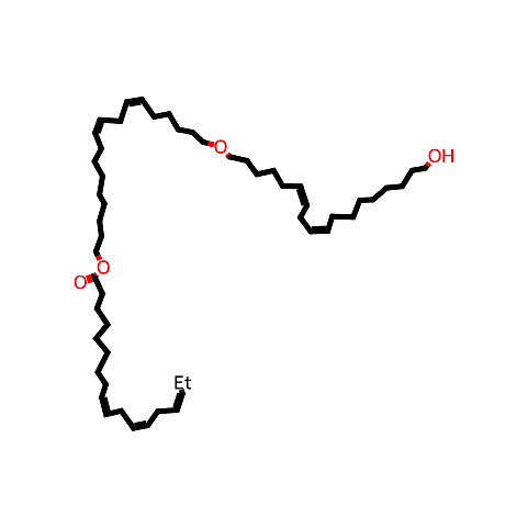 CC/C=C\C/C=C\C/C=C\CCCCCCCC(=O)OCCCCCCCC/C=C\C/C=C\CCCCCOCCCCC/C=C\C/C=C\CCCCCCCCO